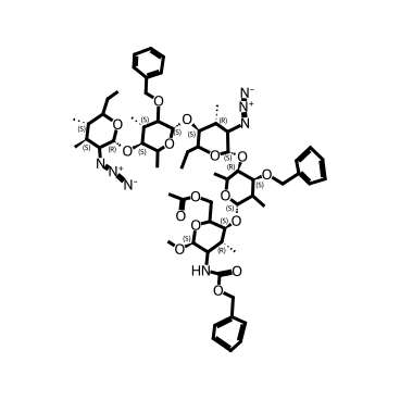 CCC1O[C@H](O[C@@H]2C(C)O[C@@H](O[C@@H]3C(CC)O[C@@H](O[C@@H]4C(C)O[C@@H](O[C@@H]5C(COC(C)=O)O[C@H](OC)C(NC(=O)OCc6ccccc6)[C@H]5C)C(C)[C@@H]4OCc4ccccc4)C(N=[N+]=[N-])[C@H]3C)C(OCc3ccccc3)[C@H]2C)C(N=[N+]=[N-])[C@@H](C)[C@@H]1C